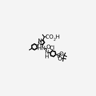 Cc1ccc(-n2nc(C(C)C(=O)O)cc2NC(=O)Nc2ccc(B3OC(C)(C)C(C)(C)O3)cc2Cl)cc1